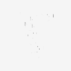 C=CC(=O)Nc1cccc(Oc2nc(N(CCOC)c3ccc4[nH]ccc4c3)ncc2OC)c1